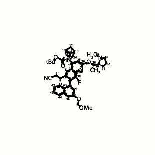 COCOc1cc(-c2c(CCC#N)cc3c(NC4C5CC4N(C(=O)OC(C)(C)C)C5)cc(O[C@@H](C)[C@@H]4CCCN4C)nc3c2F)c2ccccc2c1